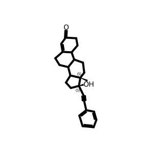 C[C@]12CCC3C4CCC(=O)C=C4CCC3C1CC[C@@]2(O)C#Cc1ccccc1